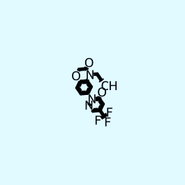 C#CCN1C(=O)COc2ccc(-n3ncc(C(F)(F)F)cc3=O)cc21